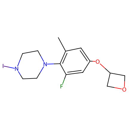 Cc1cc(OC2COC2)cc(F)c1N1CCN(I)CC1